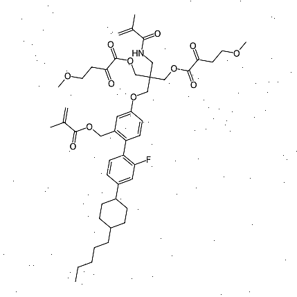 C=C(C)C(=O)NCC(COC(=O)C(=O)CCOC)(COC(=O)C(=O)CCOC)COc1ccc(-c2ccc(C3CCC(CCCCC)CC3)cc2F)c(COC(=O)C(=C)C)c1